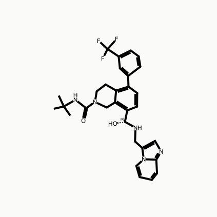 CC(C)(C)NC(=O)N1CCc2c(-c3cccc(C(F)(F)F)c3)ccc([C@@H](O)NCc3cnc4ccccn34)c2C1